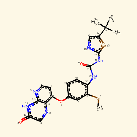 CSc1cc(Oc2ccnc3[nH]c(=O)cnc23)ccc1NC(=O)Nc1ncc(C(C)(C)C)s1